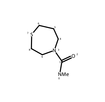 CNC(=O)N1CCCSCC1